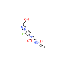 CC(=O)NCC1CN(c2ccc(-n3cnc(CCO)c3)c(F)c2)C(=O)O1